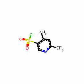 Cc1cc(C(F)(F)F)ncc1S(=O)(=O)Cl